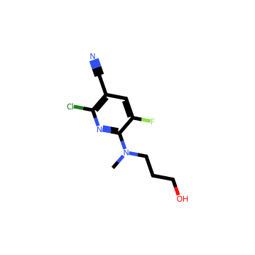 CN(CCCO)c1nc(Cl)c(C#N)cc1F